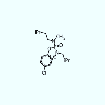 CC(C)CCN(C)P(=O)(Oc1ccc(Cl)cc1)N(C)CC(C)C